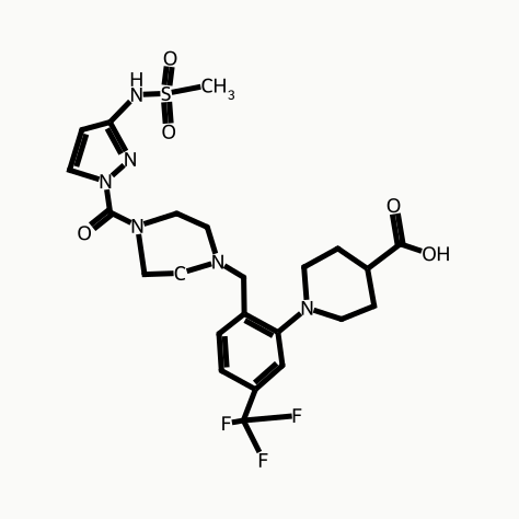 CS(=O)(=O)Nc1ccn(C(=O)N2CCN(Cc3ccc(C(F)(F)F)cc3N3CCC(C(=O)O)CC3)CC2)n1